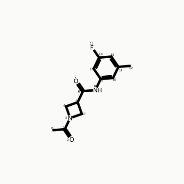 CC(=O)N1CC(C(=O)Nc2cc(C)cc(F)c2)C1